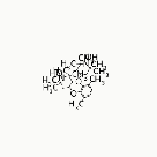 Cc1ccc(C)c(OC2CC(C)(C)N(O)C(C)(C)C2)c1OC1CC(C)(C)N(O)C(C)(C)C1